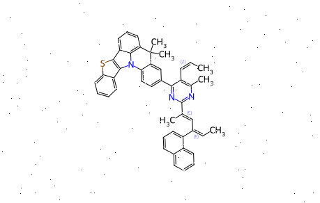 C/C=C\c1c(C)nc(/C(C)=C/C(=C\C)c2cccc3ccccc23)nc1-c1ccc2c(c1)C(C)(C)c1cccc3c4sc5ccccc5c4n-2c13